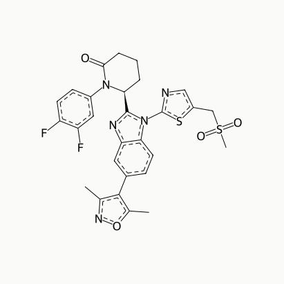 Cc1noc(C)c1-c1ccc2c(c1)nc([C@@H]1CCCC(=O)N1c1ccc(F)c(F)c1)n2-c1ncc(CS(C)(=O)=O)s1